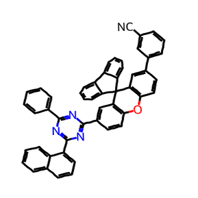 N#Cc1cccc(-c2ccc3c(c2)C2(c4cc(-c5nc(-c6ccccc6)nc(-c6cccc7ccccc67)n5)ccc4O3)c3ccccc3-c3ccccc32)c1